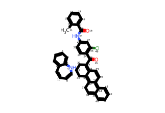 C1=CNc2ccccc2C=C1.Cc1ccccc1C(=O)Nc1ccc(C(=O)C2=c3ccc4c(c3CCC2)CC=c2ccccc2=4)c(Cl)c1